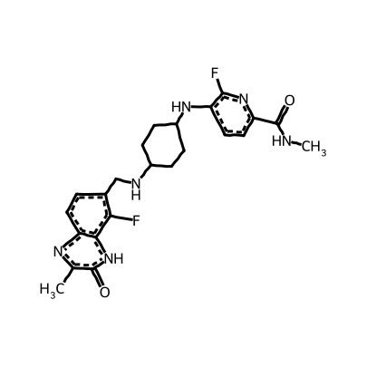 CNC(=O)c1ccc(NC2CCC(NCc3ccc4nc(C)c(=O)[nH]c4c3F)CC2)c(F)n1